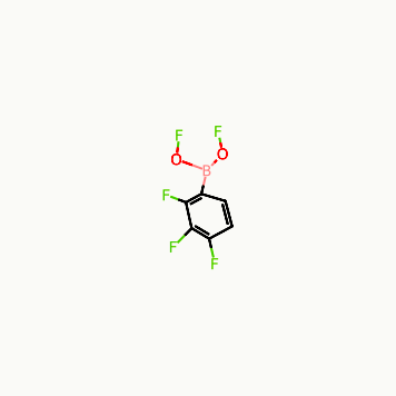 FOB(OF)c1ccc(F)c(F)c1F